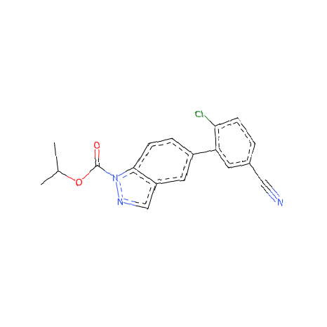 CC(C)OC(=O)n1ncc2cc(-c3cc(C#N)ccc3Cl)ccc21